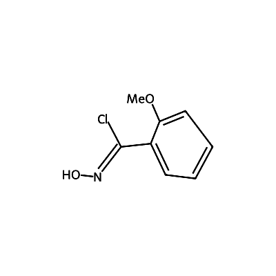 COc1ccccc1/C(Cl)=N/O